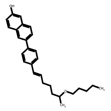 CCCCCOC(C)CCC/C=C/c1ccc(-c2ccc3cc(O)ccc3c2)cc1